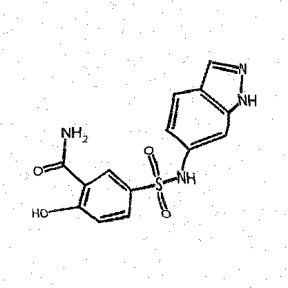 NC(=O)c1cc(S(=O)(=O)Nc2ccc3cn[nH]c3c2)ccc1O